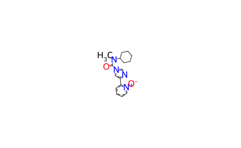 CN(C(=O)n1cnc(-c2cccc[n+]2[O-])c1)C1CCCCC1